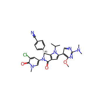 COc1nc(N(C)C)ncc1-c1cc2c(n1C(C)C)[C@@H](c1ccc(C#N)cc1)N(c1cc(Cl)c(=O)n(C)c1)C2=O